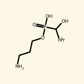 CCCC(O)P(=O)(O)OCCCN